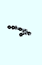 O=C(Nc1ccc(CNS(=O)(=O)c2ccc(-c3ccccc3)cc2)cc1)[C@@H]1CSC(c2ccncc2)N1C(=O)OCc1ccccc1